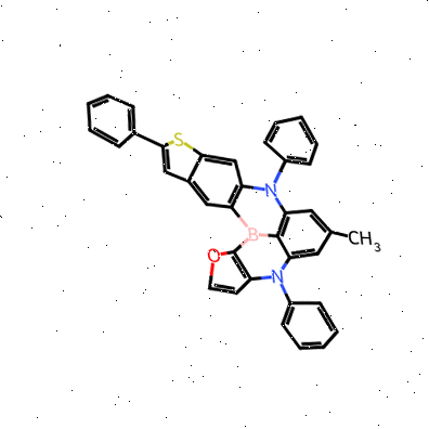 Cc1cc2c3c(c1)N(c1ccccc1)c1ccoc1B3c1cc3cc(-c4ccccc4)sc3cc1N2c1ccccc1